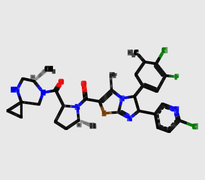 CC[C@@H]1CCC(C(=O)N2CC3(CC3)NC[C@@H]2C)N1C(=O)C1=C(C(C)C)N2C(=NC(c3ccc(Cl)nc3)C2C2=CC(F)=C(Cl)C(C)C2)S1